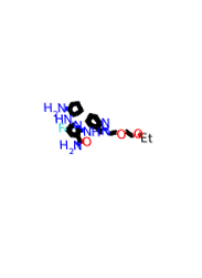 CCOCCOCCn1cc2c(Nc3nc(NC4CCCCC4N)c(F)cc3C(N)=O)cccc2n1